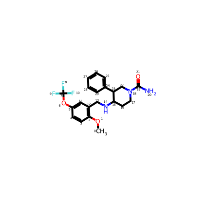 COc1ccc(OC(F)(F)F)cc1CNC1CCN(C(N)=O)CC1c1ccccc1